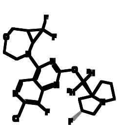 [2H]C([2H])(Oc1nc(N2CCOCC3C2C3(F)F)c2cnc(Cl)c(F)c2n1)[C@@]12CCCN1C[C@H](F)C2